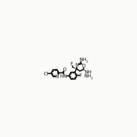 NN[C@@H]1C[C@](CF)(c2cc(NC(=O)c3ccc(Cl)cn3)ccc2F)N=C(N)O1